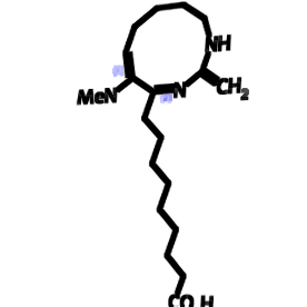 C=C1/N=C(CCCCCCCCC(=O)O)\C(NC)=C/CCCCN1